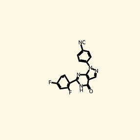 [C-]#[N+]c1ccc(-n2ncc3c(=O)[nH]c(-c4ccc(F)cc4F)nc32)cc1